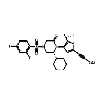 CC(C)(C)C#Cc1cc(N2C(=O)CN(S(=O)(=O)c3ccc(F)cc3F)C[C@H]2C2CCCCC2)c(C(=O)O)s1